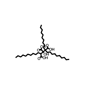 CCCCCCCCCCC(C(=O)O)C(O)(C(=O)O)C(CCCCCCCCCC)(CCCCCCCCCC)C(=O)O